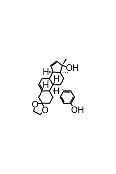 C[C@]1(O)C=C[C@H]2[C@@H]3CC=C4CC5(CC[C@@H]4[C@H]3[C@@H](c3ccc(O)cc3)C[C@@]21C)OCCO5